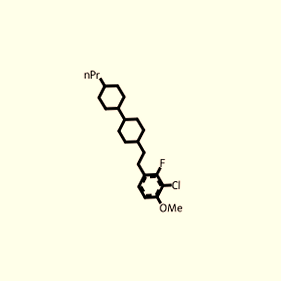 CCCC1CCC(C2CCC(CCc3ccc(OC)c(Cl)c3F)CC2)CC1